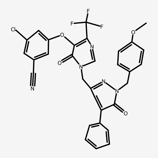 COc1ccc(Cn2nc(Cn3cnc(C(F)(F)F)c(Oc4cc(Cl)cc(C#N)c4)c3=O)cc(-c3ccccc3)c2=O)cc1